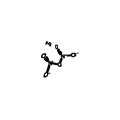 O=[N+]([O-])O[N+](=O)[O-].[Ag]